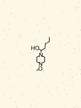 CCCCC(O)N1CCN(OC)CC1